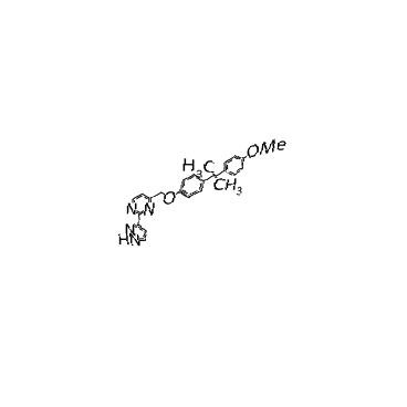 COc1ccc(C(C)(C)c2ccc(OCc3ccnc(-c4cc[nH]n4)n3)cc2)cc1